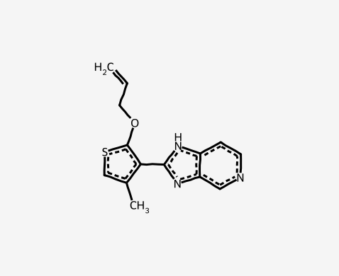 C=CCOc1scc(C)c1-c1nc2cnccc2[nH]1